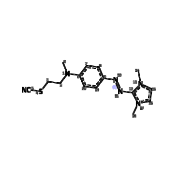 CN(CCSC#N)c1ccc(/N=N/c2n(C)cc[n+]2C)cc1